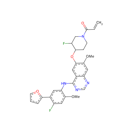 C=CC(=O)N1CCC(Oc2cc3c(Nc4cc(-c5ccco5)c(F)cc4OC)ncnc3cc2OC)C(F)C1